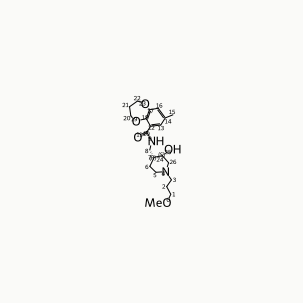 COCCCN1CC[C@H](CNC(=O)c2cc(C)cc3c2OCCCO3)[C@H](O)C1